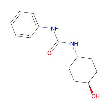 O=C(Nc1ccccc1)N[C@H]1CC[C@H](O)CC1